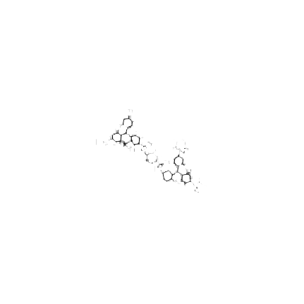 CCN(CC)c1ccc2c(-c3cc(NC(=O)[C@H]4CC[C@H](NC(=O)c5ccc(-c6c7ccc(=O)cc-7oc7cc(O)ccc67)c(C(=O)O)c5)CC4)ccc3S)c3ccc(=[N+](CC)CC)cc-3oc2c1